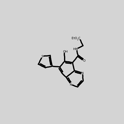 CCOC(=O)CNC(=O)c1c(O)c(-c2ccsc2)cc2nccnc12